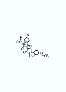 N#Cc1ccc(-n2nc3c(c2C(=O)NCC2(O)CC2)C(=O)N[C@@]2(CCc4cc(OCC(F)(F)F)ccc42)C3)nc1